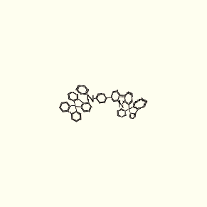 c1ccc(N(c2ccc(-c3ccc4c5cccc6c5n(c4c3)-c3ccccc3C63c4ccccc4-c4ccccc43)cc2)c2cccc3c2-c2ccccc2C32c3ccccc3-c3ccccc32)cc1